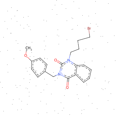 COc1ccc(Cn2c(=O)c3ccccc3n(CCCCBr)c2=O)cc1